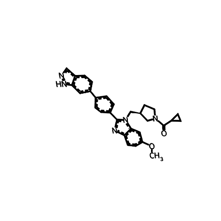 COc1ccc2nc(-c3ccc(-c4ccc5cn[nH]c5c4)cc3)n(C[C@H]3CCN(C(=O)C4CC4)C3)c2c1